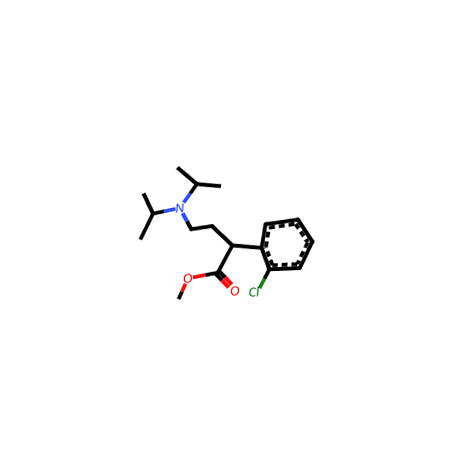 COC(=O)C(CCN(C(C)C)C(C)C)c1ccccc1Cl